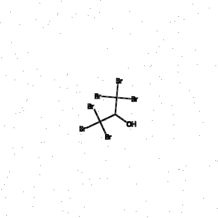 OC(C(Br)(Br)Br)C(Br)(Br)Br